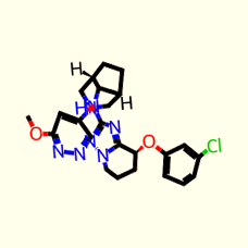 COc1cc(N2C[C@H]3CC[C@@H](C2)C3Nc2nc3n(n2)CCC[C@@H]3Oc2cccc(Cl)c2)cnn1